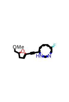 COCC1CC=C(C#Cc2cccc(F)cnc[nH]2)O1